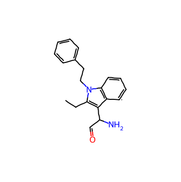 CCc1c(C(N)C=O)c2[c]cccc2n1CCc1ccccc1